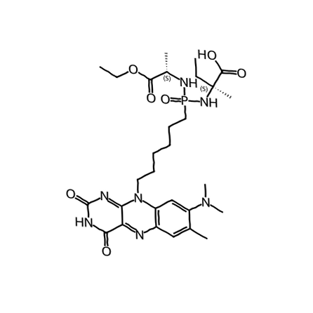 CCOC(=O)[C@H](C)NP(=O)(CCCCCCn1c2nc(=O)[nH]c(=O)c-2nc2cc(C)c(N(C)C)cc21)N[C@@](C)(CC)C(=O)O